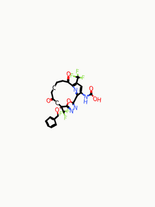 O=C1CCCCC(=O)c2nc(c(NC(=O)O)cc2C(F)(F)F)-c2nnc(o2)[C@@](OCc2ccccc2)(C(F)(F)F)C1